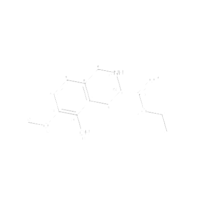 CCOC(=O)[C@@H]1Cc2c(ccc(OC)c2O)CN1